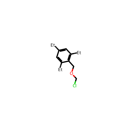 CCc1cc(CC)c(COCCl)c(CC)c1